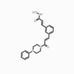 O=C(/C=C/c1cccc(/C=C/C(=O)N2CCN(c3ccccc3)CC2)c1)NO